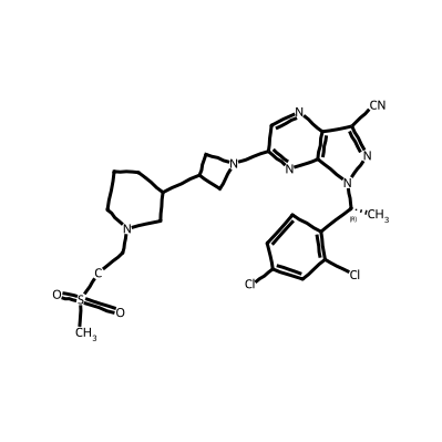 C[C@H](c1ccc(Cl)cc1Cl)n1nc(C#N)c2ncc(N3CC(C4CCCN(CCS(C)(=O)=O)C4)C3)nc21